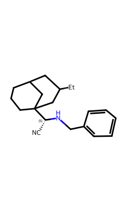 CCC1CC2CCCC([C@@H](C#N)NCc3ccccc3)(C1)C2